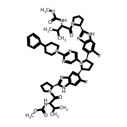 COC(=O)N[C@H](C(=O)N1CCC[C@H]1c1nc2cc([C@H]3CC[C@@H](c4cc5nc([C@@H]6CCCN6C(=O)[C@@H](NC(=O)OC)C(C)C)[nH]c5cc4F)N3c3cnc(N4CCC(c5ccccc5)CC4)nc3)c(F)cc2[nH]1)C(C)C